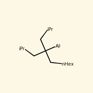 CCCCCCC[C]([Al])(CC(C)C)CC(C)C